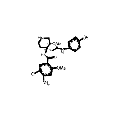 COc1cc(N)c(Cl)cc1C(=O)N[C@@]1(CC(=O)Nc2ccc(O)cc2)CCNC[C@@H]1OC